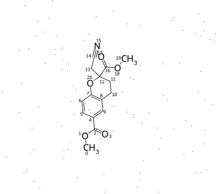 COC(=O)c1ccc2c(c1)CCC(CC#N)(C(=O)OC)O2